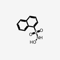 O=S(=O)(NO)c1cccc2ccccc12